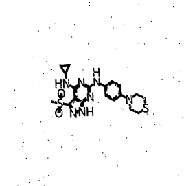 CS(=O)(=O)c1n[nH]c2nc(Nc3ccc(N4CCSCC4)cc3)nc(NC3CC3)c12